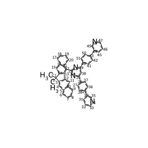 CC1(C)c2cc3ccccc3cc2-c2c1cc1ccccc1c2-c1nc(-c2ccc(-c3cccnc3)cc2)cc(-c2ccc(-c3cccnc3)cc2)n1